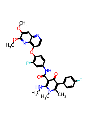 CNc1c(C(=O)Nc2ccc(Oc3ccnc4cc(OC)c(OC)nc34)c(F)c2)c(=O)c(-c2ccc(F)cc2)c(C)n1C